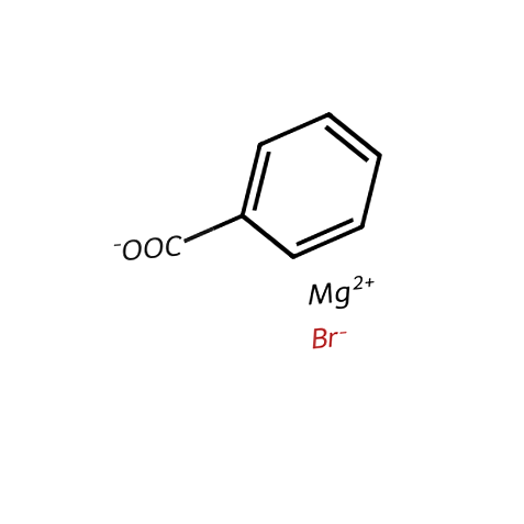 O=C([O-])c1ccccc1.[Br-].[Mg+2]